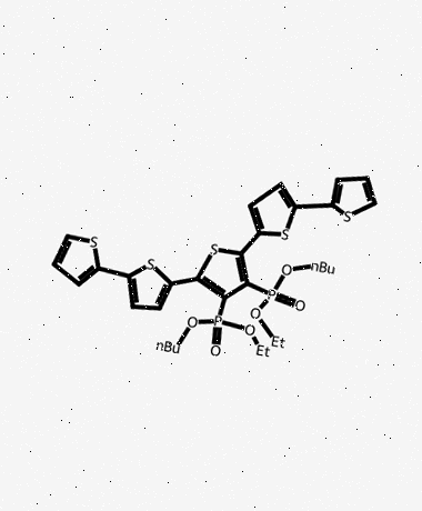 CCCCOP(=O)(OCC)c1c(-c2ccc(-c3cccs3)s2)sc(-c2ccc(-c3cccs3)s2)c1P(=O)(OCC)OCCCC